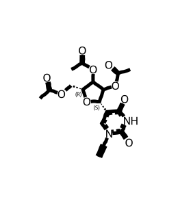 C#Cn1cc([C@@H]2O[C@H](COC(C)=O)C(OC(C)=O)C2OC(C)=O)c(=O)[nH]c1=O